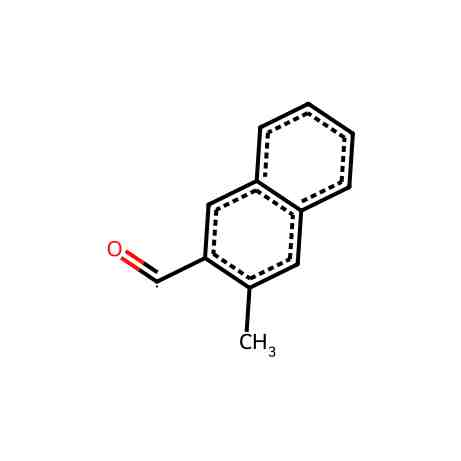 Cc1cc2ccccc2cc1[C]=O